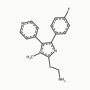 Cn1c(SCN)nc(-c2ccc(F)cc2)c1-c1ccncc1